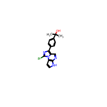 CC(C)(O)c1ccc(-c2nc(Br)n3c2cnc2[nH]ccc23)cc1